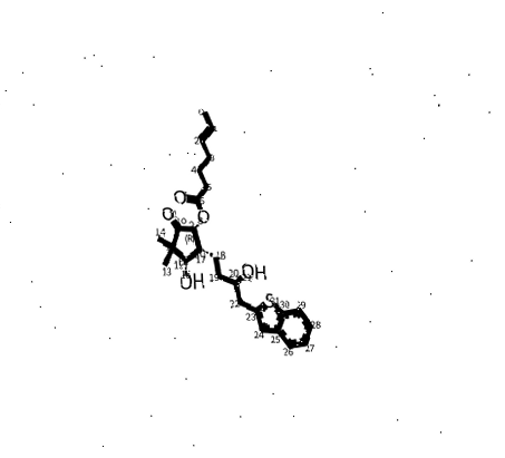 CC=CCCCC(=O)O[C@H]1C(=O)C(C)(C)[C@@H](O)[C@H]1CCC(O)Cc1cc2ccccc2s1